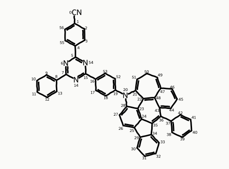 N#Cc1ccc(-c2nc(-c3ccccc3)nc(-c3ccc(-n4c5c6c7c8c(ccc74)c4ccccc4c-8c(-c4ccccc4)c4cccc(c46)=CCC=5)cc3)n2)cc1